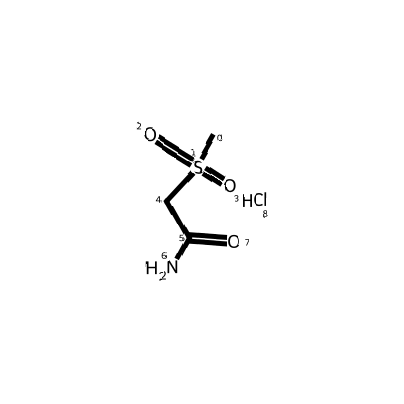 CS(=O)(=O)CC(N)=O.Cl